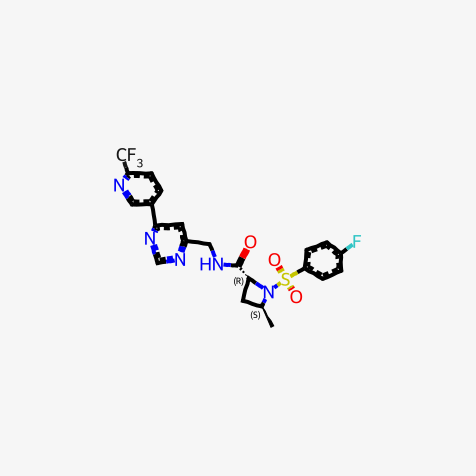 C[C@H]1C[C@H](C(=O)NCc2cc(-c3ccc(C(F)(F)F)nc3)ncn2)N1S(=O)(=O)c1ccc(F)cc1